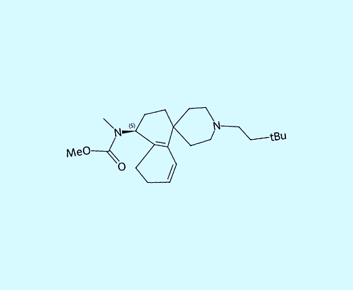 COC(=O)N(C)[C@H]1CCC2(CCN(CCC(C)(C)C)CC2)C2=C1CCC=C2